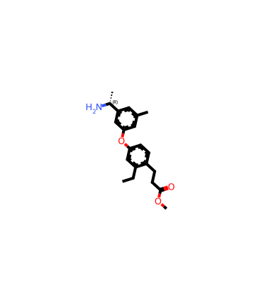 CCc1cc(Oc2cc(C)cc([C@@H](C)N)c2)ccc1CCC(=O)OC